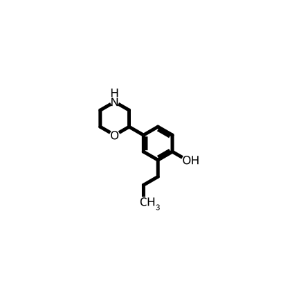 CCCc1cc(C2CNCCO2)ccc1O